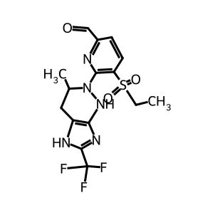 CCS(=O)(=O)c1ccc(C=O)nc1N1Nc2nc(C(F)(F)F)[nH]c2CC1C